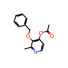 CC(=O)Oc1ccnc(C)c1OCc1ccccc1